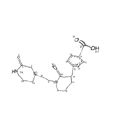 O=C1CN(CCN2CCCC(c3ccc(C(=O)O)cc3)C2=O)CCN1